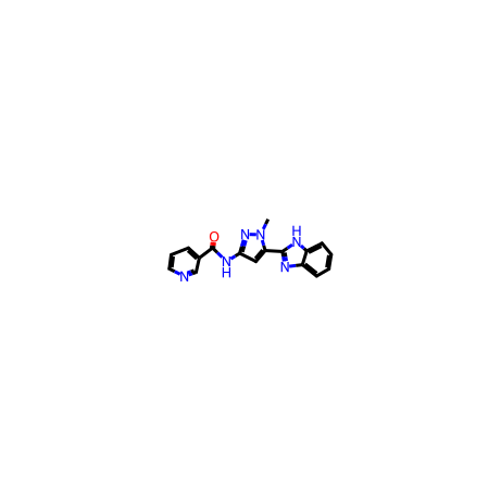 Cn1nc(NC(=O)c2cccnc2)cc1-c1nc2ccccc2[nH]1